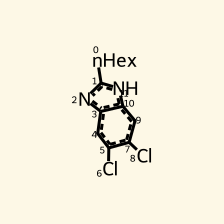 CCCCCCc1nc2cc(Cl)c(Cl)cc2[nH]1